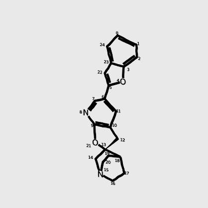 c1ccc2oc(-c3cnc4c(c3)C[C@@]3(CN5CCC3CC5)O4)cc2c1